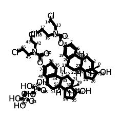 C[C@]12CC[C@@H]3c4ccc(OC(=O)N(CCCl)CCCl)cc4CC[C@H]3[C@@H]1CC[C@@H]2O.C[C@]12CC[C@@H]3c4ccc(OC(=O)N(CCCl)CCCl)cc4CC[C@H]3[C@@H]1CC[C@@H]2O.O=P(O)(O)O.O=P(O)(O)O